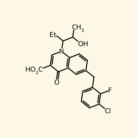 CCC(C(C)O)n1cc(C(=O)O)c(=O)c2cc(Cc3cccc(Cl)c3F)ccc21